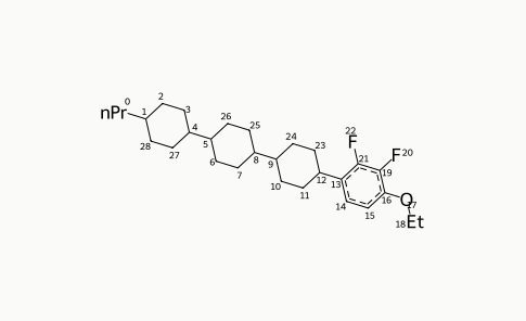 CCCC1CCC(C2CCC(C3CCC(c4ccc(OCC)c(F)c4F)CC3)CC2)CC1